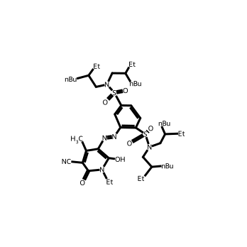 CCCCC(CC)CN(CC(CC)CCCC)S(=O)(=O)c1ccc(S(=O)(=O)N(CC(CC)CCCC)CC(CC)CCCC)c(/N=N/c2c(C)c(C#N)c(=O)n(CC)c2O)c1